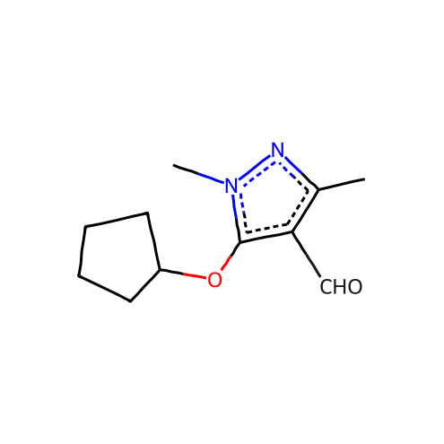 Cc1nn(C)c(OC2CCCC2)c1C=O